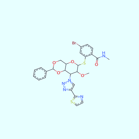 CNC(=O)c1ccc(Br)cc1SC1OC2COC(c3ccccc3)OC2C(n2cc(-c3nccs3)nn2)C1OC